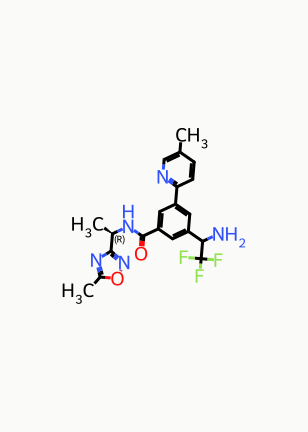 Cc1ccc(-c2cc(C(=O)N[C@H](C)c3noc(C)n3)cc(C(N)C(F)(F)F)c2)nc1